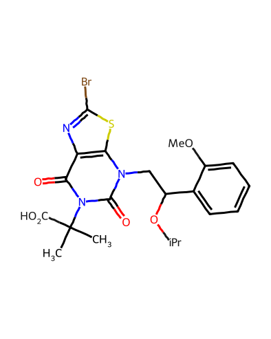 COc1ccccc1C(Cn1c(=O)n(C(C)(C)C(=O)O)c(=O)c2nc(Br)sc21)OC(C)C